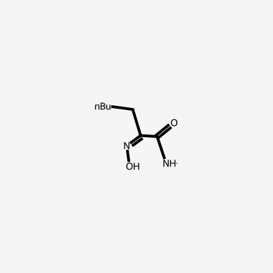 CCCCCC(=NO)C([NH])=O